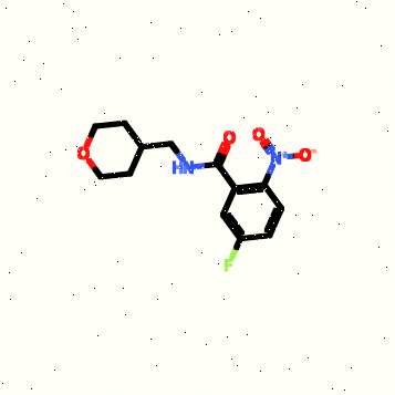 O=C(NCC1CCOCC1)c1cc(F)ccc1[N+](=O)[O-]